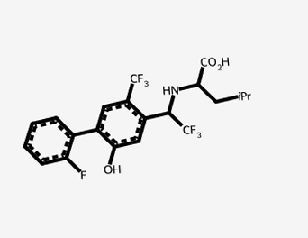 CC(C)CC(NC(c1cc(O)c(-c2ccccc2F)cc1C(F)(F)F)C(F)(F)F)C(=O)O